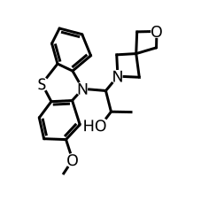 COc1ccc2c(c1)N(C(C(C)O)N1CC3(COC3)C1)c1ccccc1S2